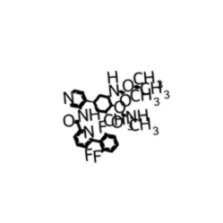 CNC(=O)O[C@H]1[C@@H](C)C[C@@H](c2ccncc2NC(=O)c2ccc(F)c(-c3c(F)cccc3F)n2)C[C@H]1NC(=O)OC(C)(C)C